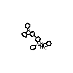 c1ccc(-n2c3ccccc3c3cc(-c4ccc5c(c4)n(-c4ccccc4)c4nc6oc7ccccc7c6n54)ccc32)cc1